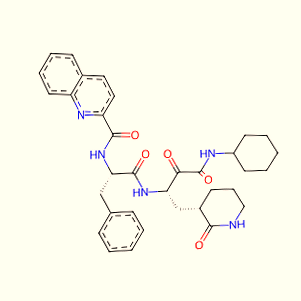 O=C(NC1CCCCC1)C(=O)[C@H](C[C@@H]1CCCNC1=O)NC(=O)[C@H](Cc1ccccc1)NC(=O)c1ccc2ccccc2n1